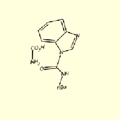 CCCCNC(=O)n1cnc2ccccc21.NC(=O)O